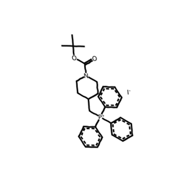 CC(C)(C)OC(=O)N1CCC(C[P+](c2ccccc2)(c2ccccc2)c2ccccc2)CC1.[I-]